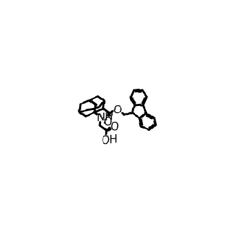 O=C(O)CNC12CC3CC(CC(C3)C1C(=O)OCC1c3ccccc3-c3ccccc31)C2